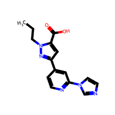 CCCn1nc(-c2ccnc(-n3ccnc3)c2)cc1C(=O)O